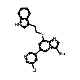 CCC(C)c1cnc2c(NCCc3c[nH]c4ccccc34)cc(-c3cncc(Cl)c3)cn12